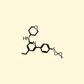 CCc1cc(NC2CCOCC2)nc(-c2ccc(SOOC)cc2)c1